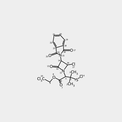 CC(C)(SCl)C(C(=O)OCC(Cl)(Cl)Cl)N1C(=O)C(N2C(=O)c3ccccc3C2=O)C1Cl